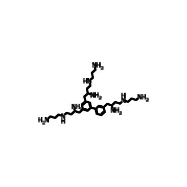 NCCCNCCC(N)Cc1cccc(-c2cc(CC(N)CCNCCCN)cc(CC(N)CCNCCCN)c2)c1